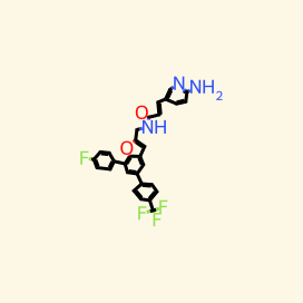 Nc1ccc(C=CC(=O)NCc2cc3cc(-c4ccc(C(F)(F)F)cc4)cc(-c4ccc(F)cc4)c3o2)cn1